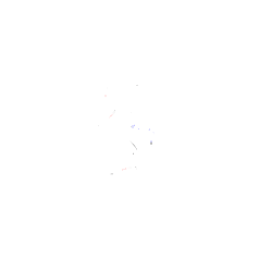 CCC(C(=O)O)n1cc(C=O)cn1